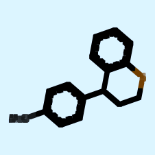 COc1ccc(C2CCSc3ccccc32)cc1